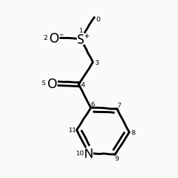 C[S+]([O-])CC(=O)c1cccnc1